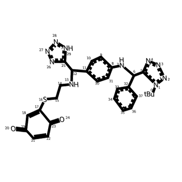 CC(C)(C)n1nnnc1C(Nc1ccc(C(NCCSC2=CC(=O)C=CC2=O)c2nnn[nH]2)cc1)c1ccccc1